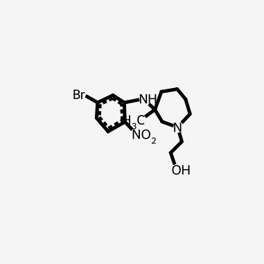 CC1(Nc2cc(Br)ccc2[N+](=O)[O-])CCCCN(CCO)C1